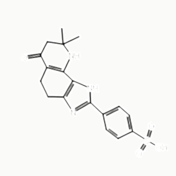 CC1(C)CC(=O)C2=C(N1)c1[nH]c(-c3ccc(S(=O)(=O)O)cc3)nc1CC2